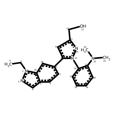 CCn1ncc2ccc(-c3cc(CO)nn3-c3ccccc3N(C)C)cc21